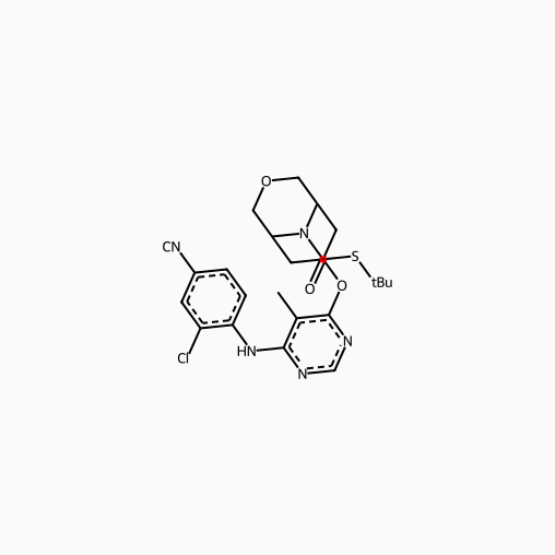 [C-]#[N+]c1ccc(Nc2ncnc(OC3CC4COCC(C3)N4C(=O)SC(C)(C)C)c2C)c(Cl)c1